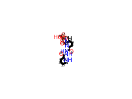 O=C(NNC(=O)[C@@H]1CC[C@@H]2CN1C(=O)N2OS(=O)(=O)O)C1CCCCN1